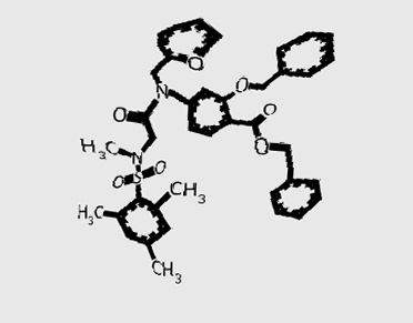 Cc1cc(C)c(S(=O)(=O)N(C)CC(=O)N(Cc2ccco2)c2ccc(C(=O)OCc3ccccc3)c(OCc3ccccc3)c2)c(C)c1